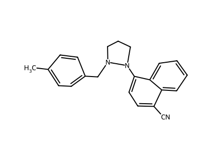 Cc1ccc(CN2CCCN2c2ccc(C#N)c3ccccc23)cc1